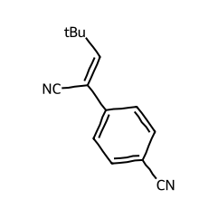 CC(C)(C)/C=C(\C#N)c1ccc(C#N)cc1